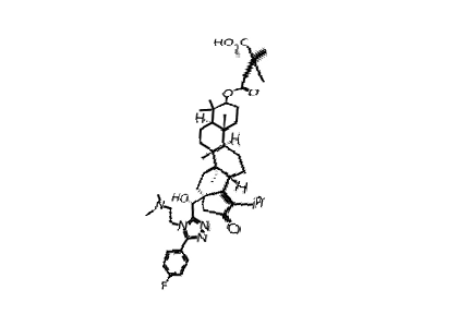 CC(C)C1=C2[C@H]3CC[C@@H]4[C@@]5(C)CC[C@H](OC(=O)CC(C)(C)C(=O)O)C(C)(C)[C@@H]5CC[C@@]4(C)[C@]3(C)CC[C@@]2([C@@H](O)c2nnc(-c3ccc(F)cc3)n2CCN(C)C)CC1=O